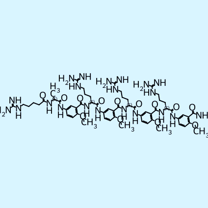 COc1ccc(NC(=O)[C@H](CCCNC(=N)N)NC(=O)c2cc(NC(=O)[C@H](CCCNC(=N)N)NC(=O)c3cc(NC(=O)[C@H](CCCNC(=N)N)NC(=O)c4cc(NC(=O)[C@H](C)NC(=O)CCCCNC(=N)N)ccc4OC)ccc3OC)ccc2OC)cc1C(N)=O